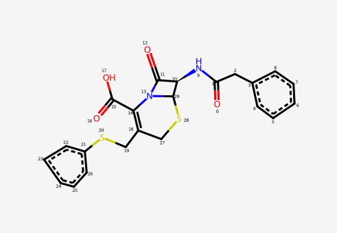 O=C(Cc1ccccc1)N[C@@H]1C(=O)N2C(C(=O)O)=C(CSc3ccccc3)CSC12